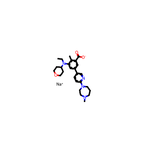 CCN(c1cc(-c2ccc(N3CCCN(C)CC3)nc2)cc(C(=O)[O-])c1C)C1CCOCC1.[Na+]